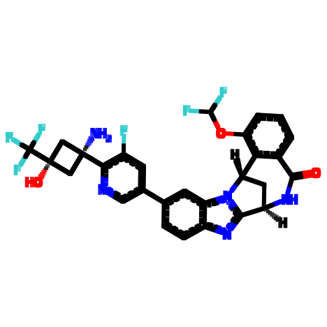 N[C@]1(c2ncc(-c3ccc4nc5n(c4c3)[C@H]3C[C@H]5NC(=O)c4cccc(OC(F)F)c43)cc2F)C[C@@](O)(C(F)(F)F)C1